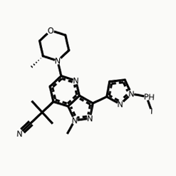 C[C@@H]1COCCN1c1cc(C(C)(C)C#N)c2c(n1)c(-c1ccn(PI)n1)nn2C